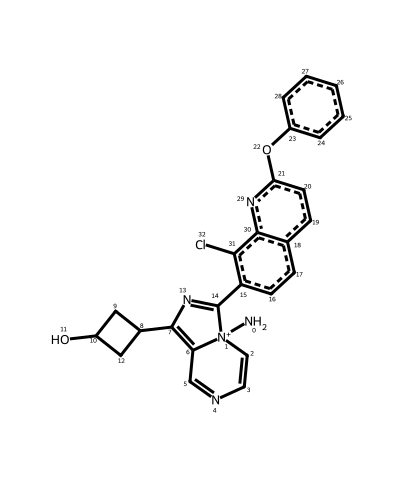 N[N+]12C=CN=CC1=C(C1CC(O)C1)N=C2c1ccc2ccc(Oc3ccccc3)nc2c1Cl